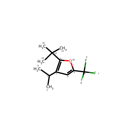 CC(C)c1cc(C(F)(F)F)oc1C(C)(C)C